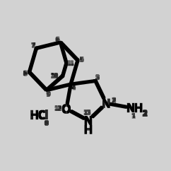 Cl.NN1CC2(CC3CCC2CC3)ON1